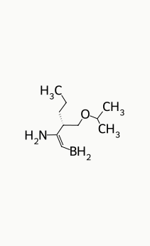 B/C=C(/N)[C@H](CCC)COC(C)C